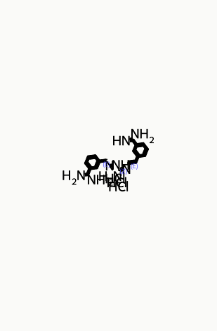 Cl.Cl.Cl.N=C(N)c1cccc(/C=C/N=C(/N)N/N=C/c2cccc(C(=N)N)c2)c1